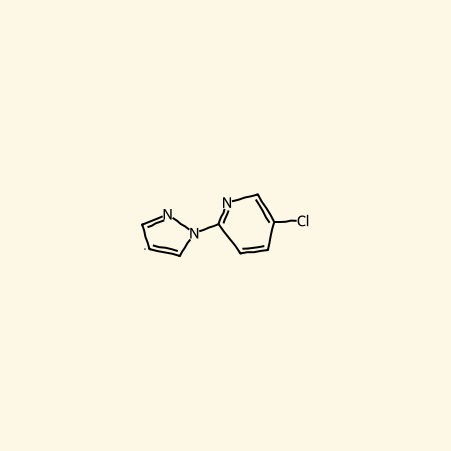 Clc1ccc(-n2c[c]cn2)nc1